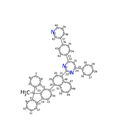 CC1(c2ccccc2)c2ccccc2-c2ccc(-c3ccc(-c4nc(-c5ccccc5)cc(-c5ccc(-c6cccnc6)cc5)n4)c4ccccc34)cc21